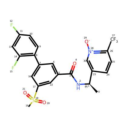 C[C@@H](NC(=O)c1cc(-c2ccc(F)cc2F)cc(S(C)(=O)=O)c1)c1ccc(C(F)(F)F)[n+]([O-])c1